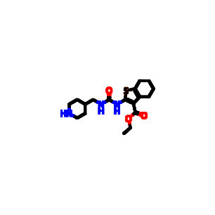 CCOC(=O)c1c(NC(=O)NCC2CCNCC2)sc2c1CCCC2